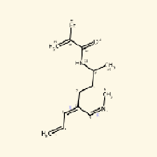 C=C/C=C(\C=N/C)CCC(C)NC(=O)C(=C)CC